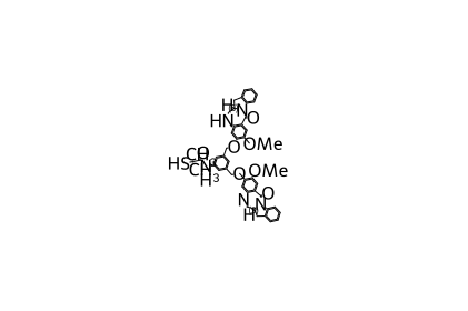 COc1cc2c(cc1OCc1cc(COc3cc4c(cc3OC)C(=O)N3c5ccccc5C[C@H]3CN4)cc(NC(=O)C(C)(C)S)c1)N=C[C@@H]1Cc3ccccc3N1C2=O